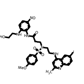 COc1ccc(S(=O)(=O)N(CCNc2cc(C)nc3ccc(I)cc23)CCC(=O)Nc2cc(N=O)ccc2NCCO)cc1